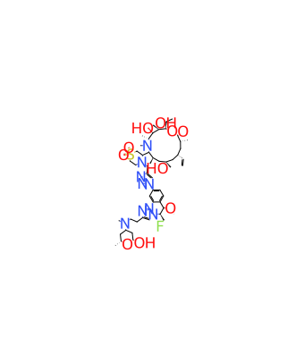 C=C[C@H]1C[C@@H](C)C(=O)O[C@H](CC)[C@@](C)(O)[C@H](O)[C@@H](C)N(C)C(C2CS(=O)(=O)CCN2Cc2cn(-c3ccc([C@@H](OC)[C@@H](CF)n4cc(CCN(C)[C@H]5C[C@@H](C)O[C@@H](O)C5)nn4)cc3)nn2)[C@H](C)C[C@@](C)(O)C1